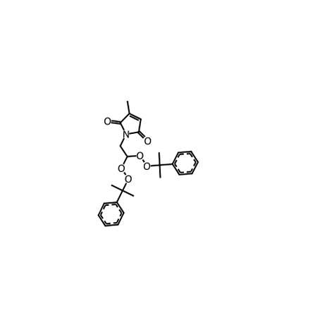 CC1=CC(=O)N(CC(OOC(C)(C)c2ccccc2)OOC(C)(C)c2ccccc2)C1=O